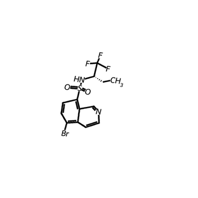 CC[C@H](NS(=O)(=O)c1ccc(Br)c2ccncc12)C(F)(F)F